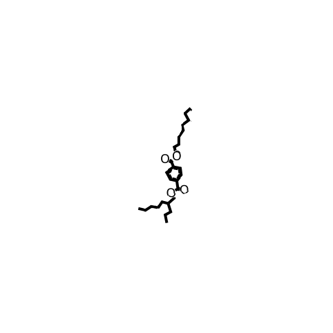 CCCCCCCCOC(=O)c1ccc(C(=O)OCC(CCC)CCCCC)cc1